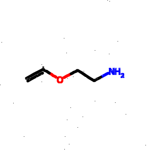 C=[C]OCCN